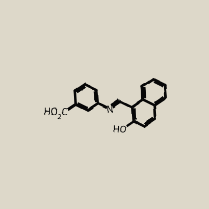 O=C(O)c1cccc(N=Cc2c(O)ccc3ccccc23)c1